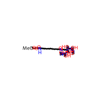 COCCOCCOCCC(=O)NCCCCCCCCCCCCCCCCCCCCCCCCC(=O)NCCCCCCC(CN(CCCCN(CCCN(C)B(C)O)B(C)O)B(C)O)CN(CCCCN(CCCN(C)B(C)O)B(C)O)B(C)O